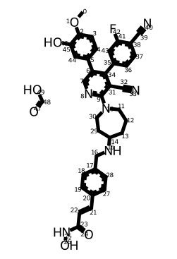 COc1ccc(-c2cnc(N3CCCC(NCc4ccc(/C=C/C(=O)NO)cc4)CC3)c(C#N)c2-c2ccc(C#N)c(F)c2)cc1O.O=CO